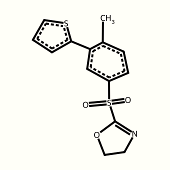 Cc1ccc(S(=O)(=O)C2=NCCO2)cc1-c1cccs1